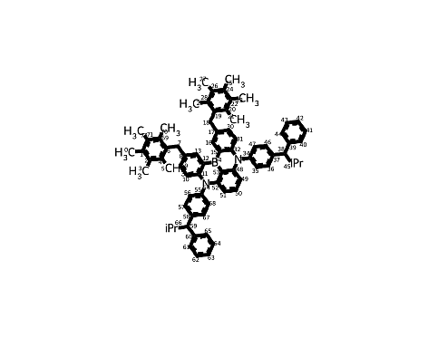 Cc1c(C)c(C)c(Cc2ccc3c(c2)B2c4cc(Cc5c(C)c(C)c(C)c(C)c5C)ccc4N(c4ccc(C(c5ccccc5)C(C)C)cc4)c4cccc(c42)N3c2ccc(C(c3ccccc3)C(C)C)cc2)c(C)c1C